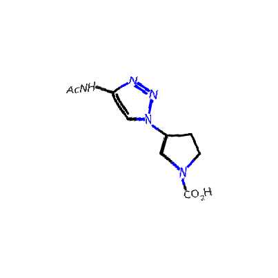 CC(=O)Nc1cn(C2CCN(C(=O)O)C2)nn1